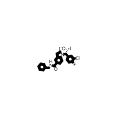 O=C(NCc1ccccc1)c1ccc2c(c1)cc(C(=O)O)n2Cc1ccc(F)c(Cl)c1